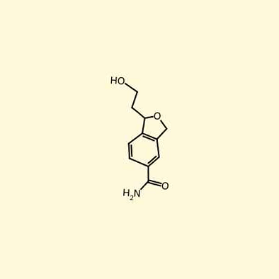 NC(=O)c1ccc2c(c1)COC2CCO